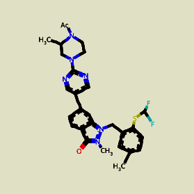 CC(=O)N1CCN(c2ncc(-c3ccc4c(=O)n(C)n(Cc5cc(C)ccc5SC(F)F)c4c3)cn2)CC1C